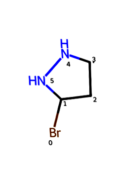 BrC1C[CH]NN1